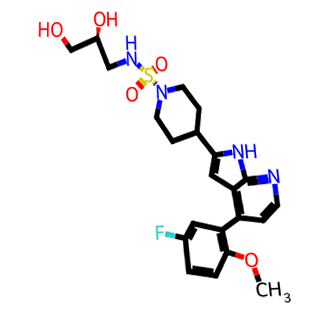 COc1ccc(F)cc1-c1ccnc2[nH]c(C3CCN(S(=O)(=O)NC[C@H](O)CO)CC3)cc12